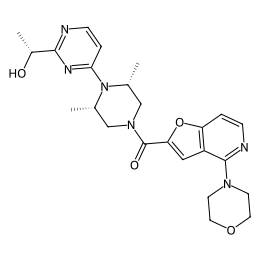 C[C@@H]1CN(C(=O)c2cc3c(N4CCOCC4)nccc3o2)C[C@H](C)N1c1ccnc([C@@H](C)O)n1